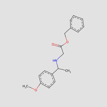 COc1ccc(C(C)NCC(=O)OCc2ccccc2)cc1